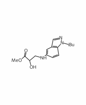 CCC(C)n1ncc2cc(NCC(O)C(=O)OC)ccc21